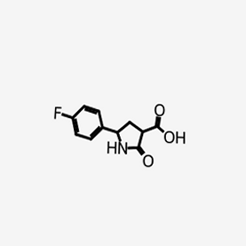 O=C(O)C1CC(c2ccc(F)cc2)NC1=O